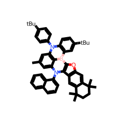 Cc1cc2c3c(c1)N(c1cccc4ccccc14)c1c(oc4cc5c(cc14)C(C)(C)CCC5(C)C)B3c1cc(C(C)(C)C)ccc1N2c1ccc(C(C)(C)C)cc1